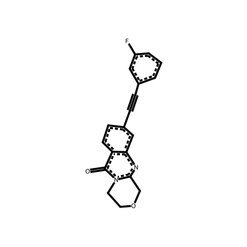 O=c1c2ccc(C#Cc3cccc(F)c3)cc2nc2n1CCOC2